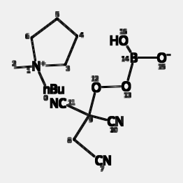 CCCC[N+]1(C)CCCC1.N#CCC(C#N)(C#N)OOB([O-])O